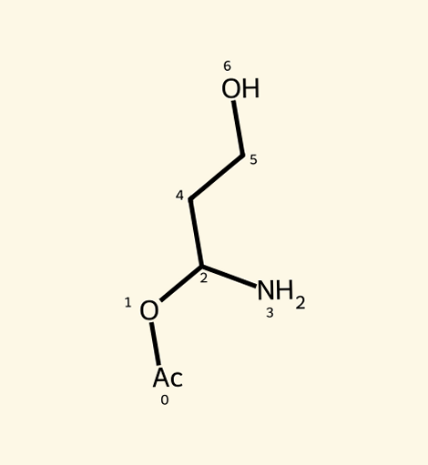 CC(=O)OC(N)CCO